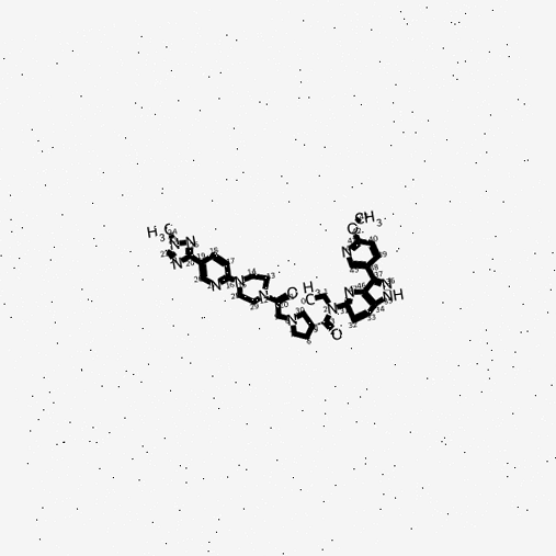 CCN(C(=O)[C@@H]1CCN(CC(=O)N2CCN(c3ccc(-c4ncn(C)n4)cn3)CC2)C1)c1ccc2[nH]nc(-c3ccc(OC)nc3)c2n1